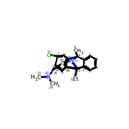 CCC12c3ccccc3C(C)(c3cc(Cl)ccc31)N2CCCN(C)C